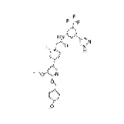 CCOc1cc(-c2ccc(CC(=O)Nc3cc(-c4cn[nH]c4)cc(C(F)(F)F)c3)c(F)c2)cnc1OCc1ccc(OC)cc1